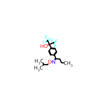 CCC/C(=N/OCC(C)C)c1ccc(C(O)(C(F)(F)F)C(F)(F)F)cc1